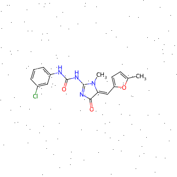 Cc1ccc(/C=C2/C(=O)N=C(NC(=O)Nc3cccc(Cl)c3)N2C)o1